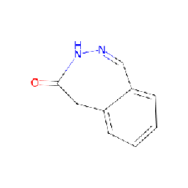 O=C1Cc2ccccc2C=NN1